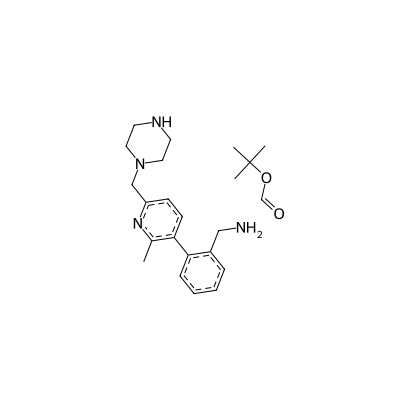 CC(C)(C)OC=O.Cc1nc(CN2CCNCC2)ccc1-c1ccccc1CN